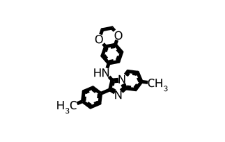 Cc1ccc(-c2nc3cc(C)ccn3c2Nc2ccc3c(c2)OCCO3)cc1